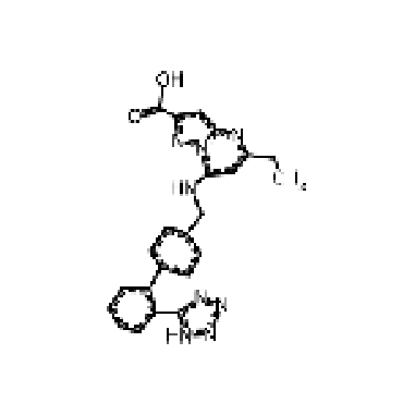 CCc1cc(NCc2ccc(-c3ccccc3-c3nnn[nH]3)cc2)n2nc(C(=O)O)cc2n1